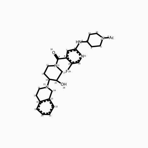 CC(=O)N1CCC(Nc2cc(C(=O)N3CCC(N4CCc5ccccc5C4)C(O)C3)c(F)cn2)CC1